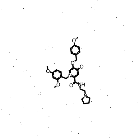 COc1ccc(COc2cn(Cc3ccc(OC)cc3OC)c(C(=O)NCCN3CCCC3)cc2=O)cc1